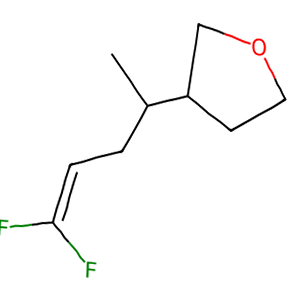 CC(CC=C(F)F)C1CCOC1